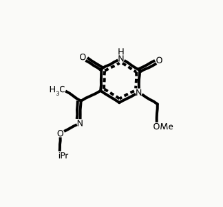 COCn1cc(C(C)=NOC(C)C)c(=O)[nH]c1=O